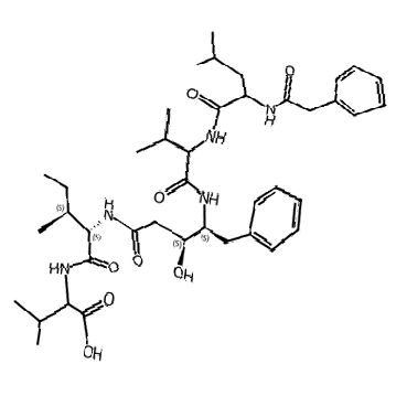 CC[C@H](C)[C@H](NC(=O)C[C@H](O)[C@H](Cc1ccccc1)NC(=O)C(NC(=O)C(CC(C)C)NC(=O)Cc1ccccc1)C(C)C)C(=O)NC(C(=O)O)C(C)C